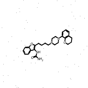 NC(=O)Nc1c(CCCCN2CCN(c3cccc4c3OCCC4)CC2)oc2ccccc12